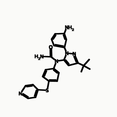 CC(C)(C)c1cc(N(C(N)=O)c2ccc(Sc3ccncc3)cc2)n(-c2cccc(N)c2)n1